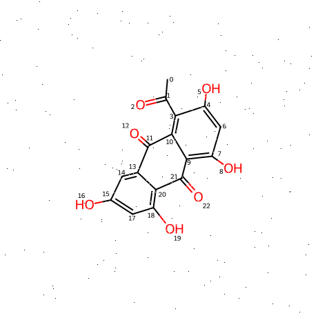 CC(=O)c1c(O)cc(O)c2c1C(=O)c1cc(O)cc(O)c1C2=O